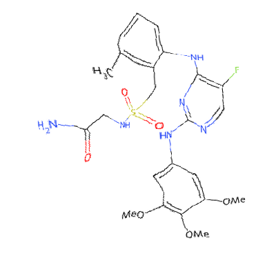 COc1cc(Nc2ncc(F)c(Nc3cccc(C)c3CS(=O)(=O)NCC(N)=O)n2)cc(OC)c1OC